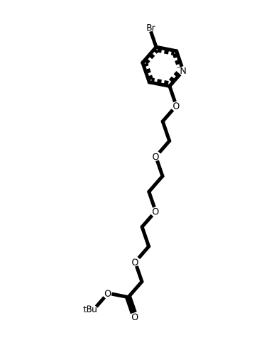 CC(C)(C)OC(=O)COCCOCCOCCOc1ccc(Br)cn1